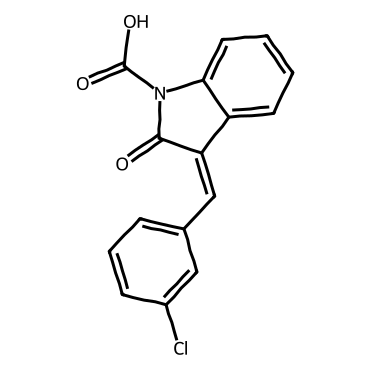 O=C(O)N1C(=O)C(=Cc2cccc(Cl)c2)c2ccccc21